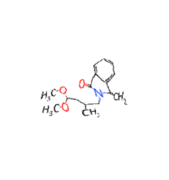 C=C1c2ccccc2C(=O)N1CC(C)CC(OC)OC